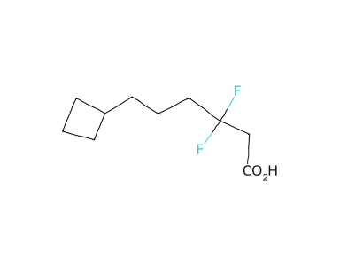 O=C(O)CC(F)(F)CCCC1CCC1